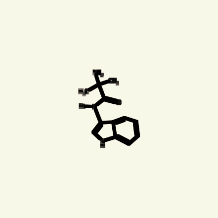 CCN(C(=O)C(C)(C)N)c1c[nH]c2ccccc12